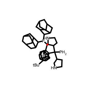 CC(C)(C)[C]12[CH]3[C]4(CP(C5C6CC7CC(C6)CC5C7)C5C6CC7CC(C6)CC5C7)[C]5(C(P)(C6CCNC6)C6CCNC6)[CH]1[Fe]34251678[CH]2[CH]1[CH]6[CH]7[CH]28